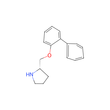 c1ccc(-c2ccccc2OC[C@@H]2CCCN2)cc1